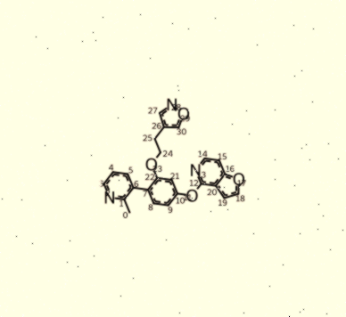 Cc1ncccc1-c1ccc(Oc2nccc3occc23)cc1OCCc1cnoc1